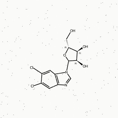 OC[C@H]1OC(n2cnc3cc(Cl)c(Cl)cc32)[C@H](O)[C@@H]1O